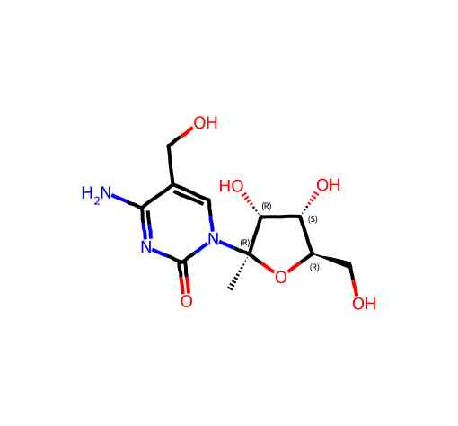 C[C@@]1(n2cc(CO)c(N)nc2=O)O[C@H](CO)[C@@H](O)[C@H]1O